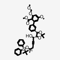 COCOc1cc(OC)cc(-c2cccc([C@H]3OC(C)(C)O[C@@H]3C(O)C#CC[C@@H](C)O[Si](c3ccccc3)(c3ccccc3)C(C)(C)C)c2)c1C(=O)OC